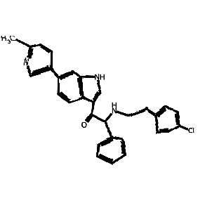 Cc1ccc(-c2ccc3c(C(=O)C(NCCc4ccc(Cl)cc4)c4ccccc4)c[nH]c3c2)cn1